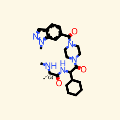 CN[C@@H](C)C(=O)NC(C(=O)N1CCN(C(=O)c2ccc3cnn(C)c3c2)CC1)C1CCCCC1